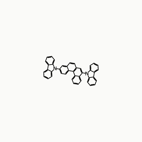 c1ccc2c(c1)c(-n1c3ccccc3c3ccccc31)cc1ccc3cc(-n4c5ccccc5c5ccccc54)ccc3c12